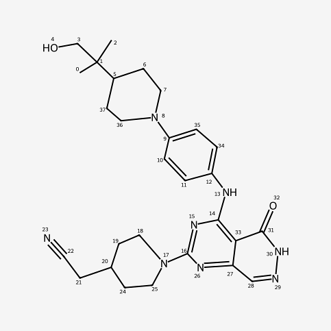 CC(C)(CO)C1CCN(c2ccc(Nc3nc(N4CCC(CC#N)CC4)nc4cn[nH]c(=O)c34)cc2)CC1